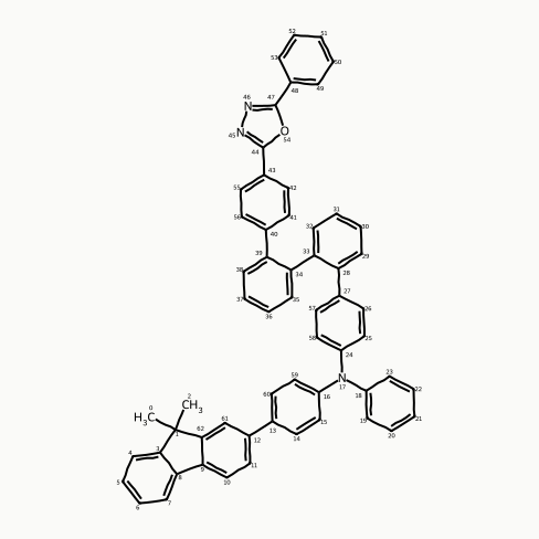 CC1(C)c2ccccc2-c2ccc(-c3ccc(N(c4ccccc4)c4ccc(-c5ccccc5-c5ccccc5-c5ccc(-c6nnc(-c7ccccc7)o6)cc5)cc4)cc3)cc21